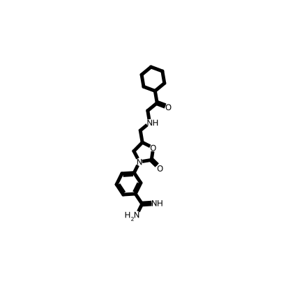 N=C(N)c1cccc(N2CC(CNCC(=O)C3CCCCC3)OC2=O)c1